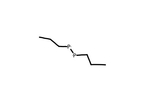 CCC[P][P]CCC